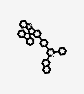 c1ccc(-c2cc(-c3ccc(-c4ccc5c(c4)C4(c6ccccc6-c6ccccc64)c4c-5sc5ccccc45)cc3)cc(-c3ccc4ccccc4c3)n2)cc1